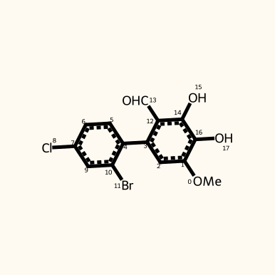 COc1cc(-c2ccc(Cl)cc2Br)c(C=O)c(O)c1O